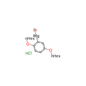 CCCCCCOc1ccc(OCCCCCC)[c]([Mg][Br])c1.Cl